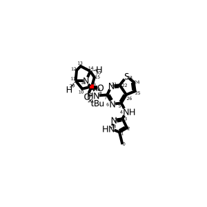 Cc1cc(Nc2nc(N[C@@H]3C[C@H]4CC[C@@H](C3)N4C(=O)OC(C)(C)C)nc3sccc23)n[nH]1